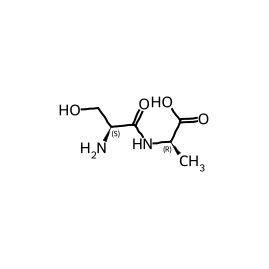 C[C@@H](NC(=O)[C@@H](N)CO)C(=O)O